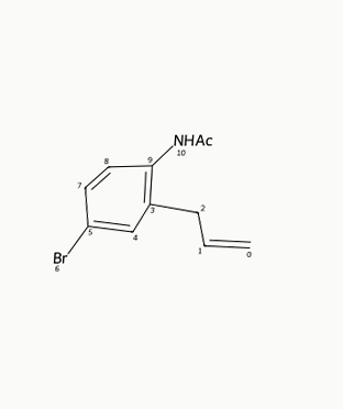 C=CCc1cc(Br)ccc1NC(C)=O